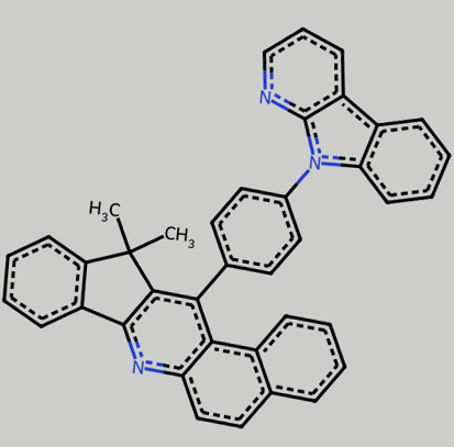 CC1(C)c2ccccc2-c2nc3ccc4ccccc4c3c(-c3ccc(-n4c5ccccc5c5cccnc54)cc3)c21